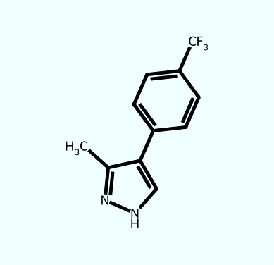 Cc1n[nH]cc1-c1ccc(C(F)(F)F)cc1